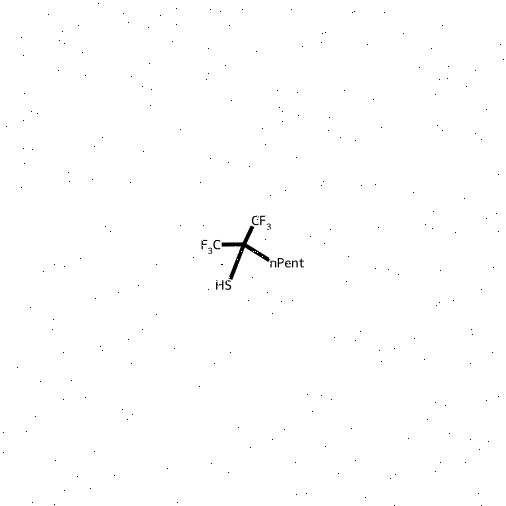 CCCCCC(S)(C(F)(F)F)C(F)(F)F